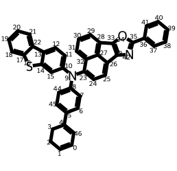 C1=CCCC(c2ccc(N(c3ccc4c(c3)sc3ccccc34)c3ccc4c5c(cccc35)-c3oc(-c5ccccc5)nc3-4)cc2)=C1